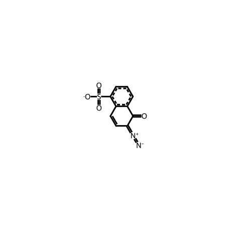 [N-]=[N+]=C1C=Cc2c(cccc2S([O])(=O)=O)C1=O